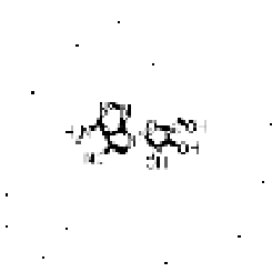 N#Cc1cn([C@@H]2O[C@H](CO)C(O)[C@@H]2O)c2ncnc(N)c12